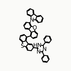 C1=c2sc3cccc(-c4cccc5oc6c(-n7c8ccccc8c8ccccc87)cccc6c45)c3c2=CC(C2=NC(c3ccccc3)=NC(c3ccccc3)N2)C1